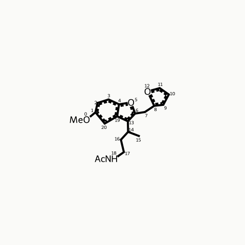 COc1ccc2oc(Cc3ccco3)c(C(C)CCNC(C)=O)c2c1